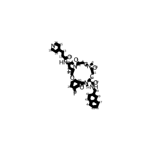 CN1CCC(=O)N2C[C@H](NC(=O)CCc3ccncc3)C[C@H]2COc2ccc(F)cc2C(=O)N(C)[C@H](C(=O)NCc2ccc3ccccc3c2)CCC1=O